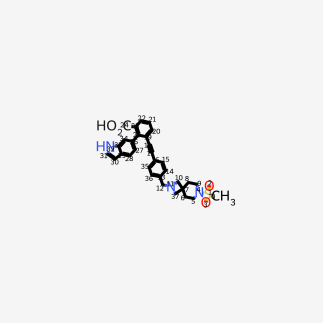 CS(=O)(=O)N1CCC2(CC1)CN(Cc1ccc(C#Cc3cccc(C(=O)O)c3-c3ccc4cc[nH]c4c3)cc1)C2